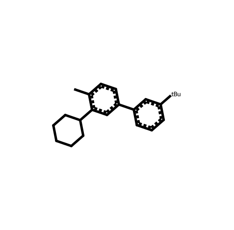 Cc1ccc(-c2cccc(C(C)(C)C)c2)cc1C1CCCCC1